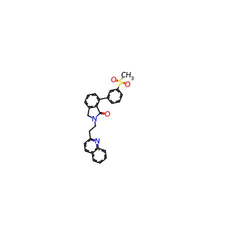 CS(=O)(=O)c1cccc(-c2cccc3c2C(=O)N(CCc2ccc4ccccc4n2)C3)c1